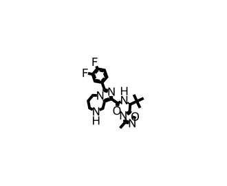 Cc1noc([C@@H](NC(=O)c2nc(-c3ccc(F)c(F)c3)n3c2CNCCC3)C(C)(C)C)n1